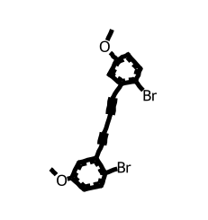 COc1ccc(Br)c(C#CC#Cc2cc(OC)ccc2Br)c1